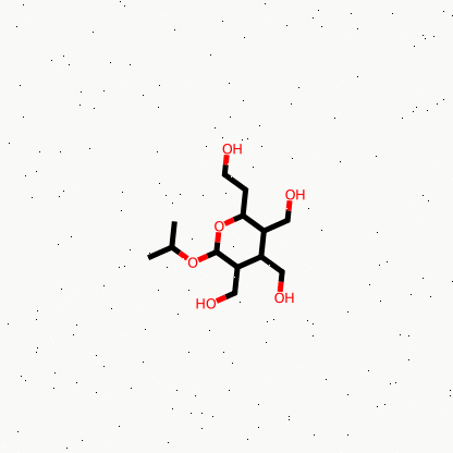 CC(C)OC1OC(CCO)C(CO)C(CO)C1CO